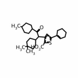 CC1CCC(C(=O)C(c2cc(C3=CCCCC3)sc2C(=O)O)C2CCC(C)(C)CC2)CC1